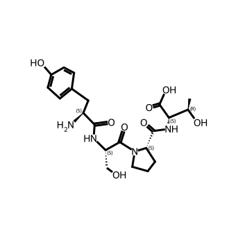 C[C@@H](O)[C@H](NC(=O)[C@@H]1CCCN1C(=O)[C@H](CO)NC(=O)[C@@H](N)Cc1ccc(O)cc1)C(=O)O